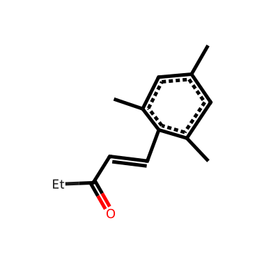 CCC(=O)/C=C/c1c(C)cc(C)cc1C